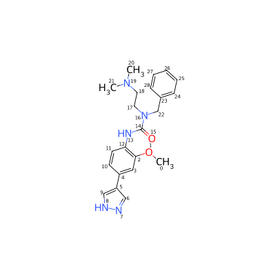 COc1cc(-c2cn[nH]c2)ccc1NC(=O)N(CCN(C)C)Cc1ccccc1